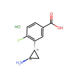 Cl.N[C@@H]1C[C@H]1c1cc(C(=O)O)ccc1F